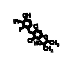 C=C(O)C(C)Oc1cc(Cl)c(Cc2ccc(O)c(C(C)C)c2F)c(Cl)c1